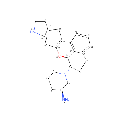 N[C@H]1CCCN([C@H]2CCc3ccccc3[C@@H]2Oc2ccc3cc[nH]c3c2)C1